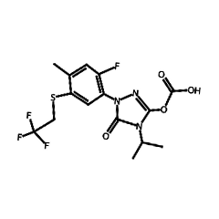 Cc1cc(F)c(-n2nc(OC(=O)O)n(C(C)C)c2=O)cc1SCC(F)(F)F